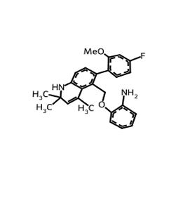 COc1cc(F)ccc1-c1ccc2c(c1COc1ccccc1N)C(C)=CC(C)(C)N2